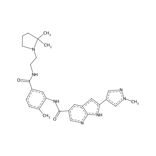 Cc1ccc(C(=O)NCCN2CCCC2(C)C)cc1NC(=O)c1cnc2[nH]c(-c3cnn(C)c3)cc2c1